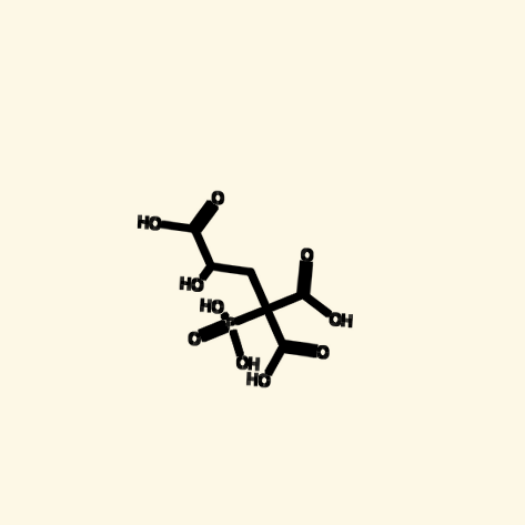 O=C(O)C(O)CC(C(=O)O)(C(=O)O)P(=O)(O)O